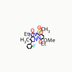 CCOc1nc([C@@H](CS(C)(=O)=O)n2c(=O)n(CC)c3c(C)c(-c4ccccc4F)cnc32)ccc1OC